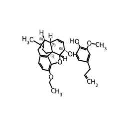 C=CCc1ccc(O)c(OC)c1.CCOc1ccc2c3c1O[C@H]1[C@@H](O)C=C[C@H]4[C@@H](C2)N(C)CC[C@@]341